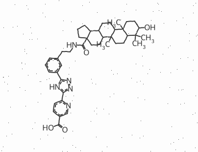 CC1(C)C(O)CCC2(C)C1CCC1(C)C3CCC4(C(=O)NCCc5cccc(-c6nnc(-c7ccc(C(=O)O)cn7)[nH]6)c5)CCCC4C3CCC12